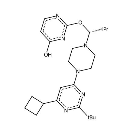 CC(C)[C@@H](Oc1nccc(O)n1)N1CCN(c2cc(C3CCC3)nc(C(C)(C)C)n2)CC1